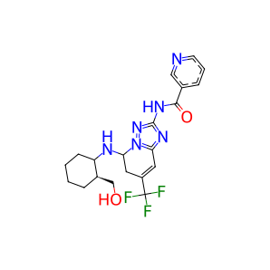 O=C(Nc1nc2n(n1)C(NC1CCCC[C@@H]1CO)CC(C(F)(F)F)=C2)c1cccnc1